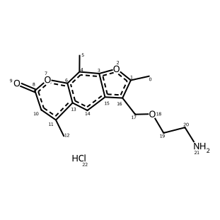 Cc1oc2c(C)c3oc(=O)cc(C)c3cc2c1COCCN.Cl